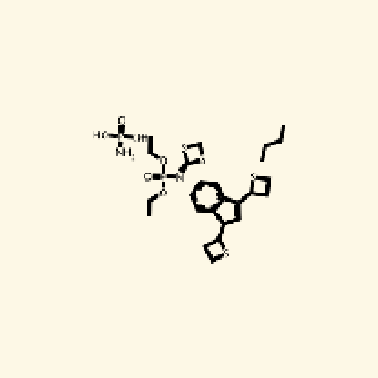 C1=C(C2CCS2)c2ccccc2C1C1CCS1.CCCC.CCOP(=O)(N=C1SCS1)OCC.NP(=O)(O)O